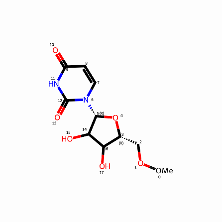 COOC[C@H]1O[C@@H](n2ccc(=O)[nH]c2=O)C(O)C1O